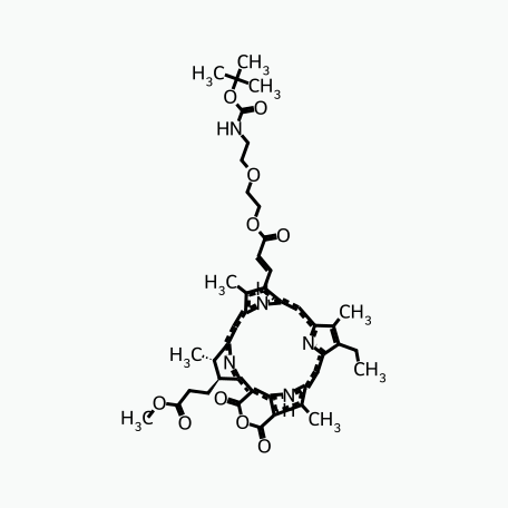 CCC1=C(C)c2cc3[nH]c(cc4nc(c5c6[nH]c(cc1n2)c(C)c6C(=O)OC5=O)[C@@H](CCC(=O)OC)[C@@H]4C)c(C)c3/C=C/C(=O)OCCOCCNC(=O)OC(C)(C)C